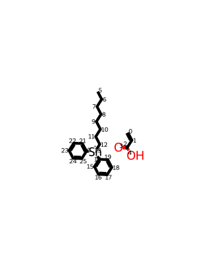 C=CC(=O)O.CCCCCCC[CH2][Sn]([c]1ccccc1)[c]1ccccc1